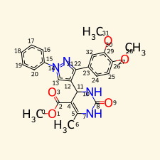 COC(=O)C1=C(C)NC(=O)NC1c1cn(-c2ccccc2)nc1-c1ccc(OC)c(OC)c1